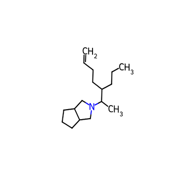 C=CCCC(CCC)C(C)N1CC2CCCC2C1